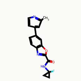 Cc1cc(-c2ccc3nc(C(=O)NC4(F)CC4)oc3c2)ccn1